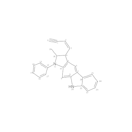 C#C/C=C\C1c2cc3c(cc2N(c2ccccc2)C1C)[nH]c1ccccc13